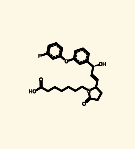 O=C(O)CCCCCCN1C(=O)CCC1C=C[C@@H](O)c1cccc(Oc2cccc(F)c2)c1